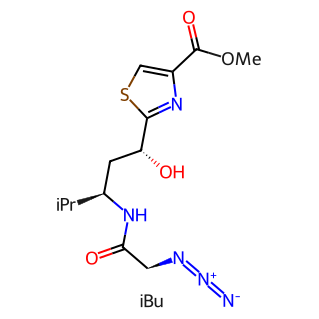 CC[C@H](C)[C@H](N=[N+]=[N-])C(=O)N[C@H](C[C@@H](O)c1nc(C(=O)OC)cs1)C(C)C